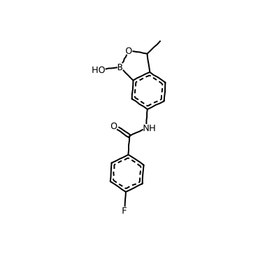 CC1OB(O)c2cc(NC(=O)c3ccc(F)cc3)ccc21